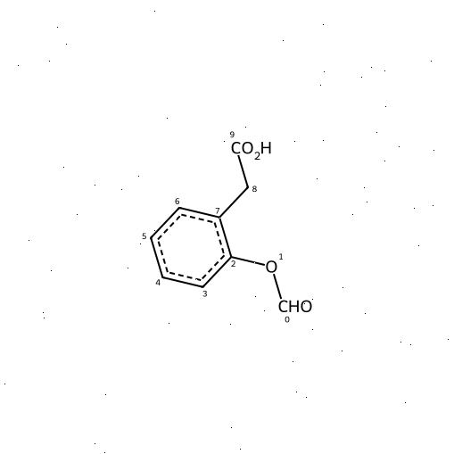 O=COc1ccccc1CC(=O)O